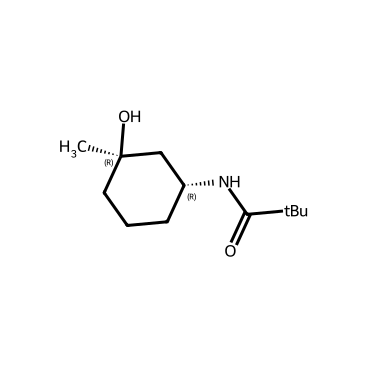 CC(C)(C)C(=O)N[C@@H]1CCC[C@@](C)(O)C1